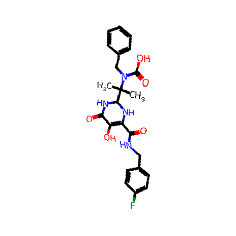 CC(C)(C1NC(=O)C(O)=C(C(=O)NCc2ccc(F)cc2)N1)N(Cc1ccccc1)C(=O)O